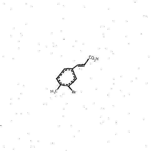 Cc1ccc(C=CC(=O)O)cc1Br